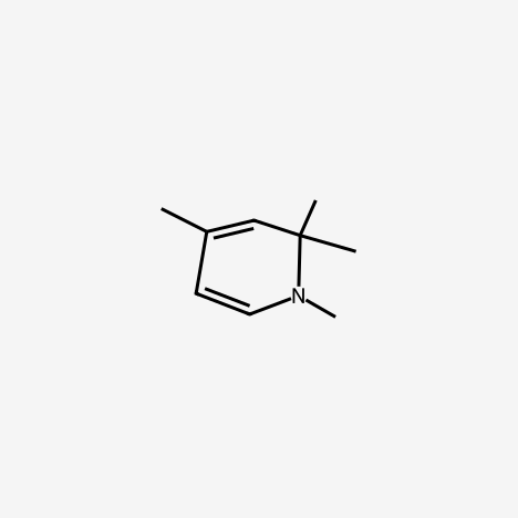 CC1=CC(C)(C)N(C)C=C1